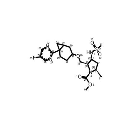 COC(=O)N1[C@H](C)C[C@H](NS(C)(=O)=O)[C@@H]1COC1CCC2(c3ncc(F)cn3)CC2C1